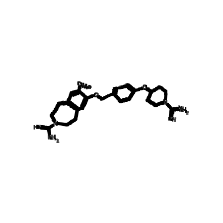 COc1cc2c(cc1OCc1ccc(OC3CCN(C(=N)N)CC3)cc1)CCN(C(=N)N)CC2